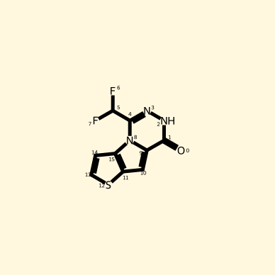 O=c1[nH]nc(C(F)F)n2c1cc1sccc12